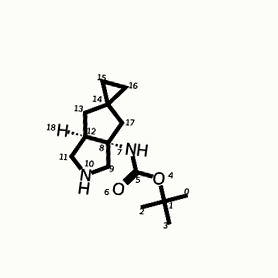 CC(C)(C)OC(=O)N[C@]12CNC[C@H]1CC1(CC1)C2